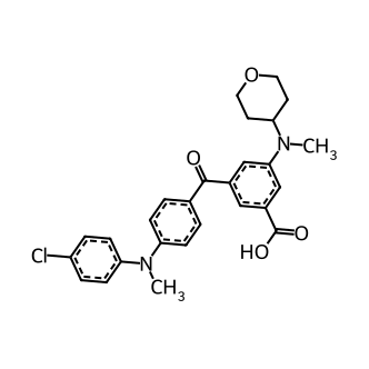 CN(c1ccc(Cl)cc1)c1ccc(C(=O)c2cc(C(=O)O)cc(N(C)C3CCOCC3)c2)cc1